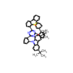 CC(C)(C)c1ccc2c(c1)c1cc(C(C)(C)C)ccc1n2-c1ccccc1-c1nc(-c2ccccc2-c2ccccc2)nc(-c2cccc3c2sc2ccccc23)n1